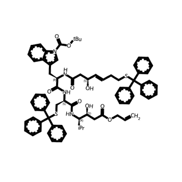 C=CCOC(=O)C[C@H](O)[C@H](NC(=O)[C@@H](CSC(c1ccccc1)(c1ccccc1)c1ccccc1)NC(=O)[C@@H](Cc1cn(C(=O)OC(C)(C)C)c2ccccc12)NC(=O)C[C@H](O)C=CCCSC(c1ccccc1)(c1ccccc1)c1ccccc1)C(C)C